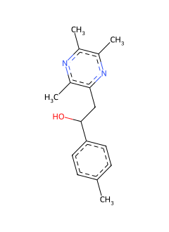 Cc1ccc(C(O)Cc2nc(C)c(C)nc2C)cc1